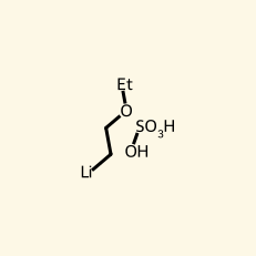 O=S(=O)(O)O.[Li][CH2]COCC